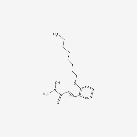 CCCCCCCCSc1ccccc1/C=C/C(=O)N(C)O